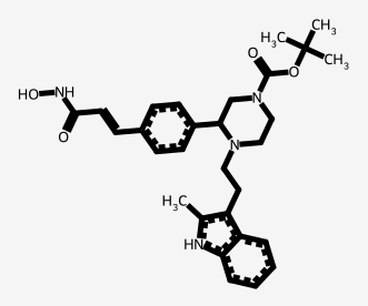 Cc1[nH]c2ccccc2c1CCN1CCN(C(=O)OC(C)(C)C)CC1c1ccc(C=CC(=O)NO)cc1